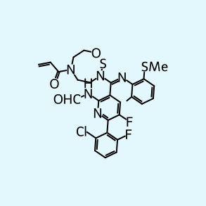 C=CC(=O)N1CCOSN(/C(=N/c2c(C)cccc2SC)c2cc(F)c(-c3c(F)cccc3Cl)nc2NC=O)CC1